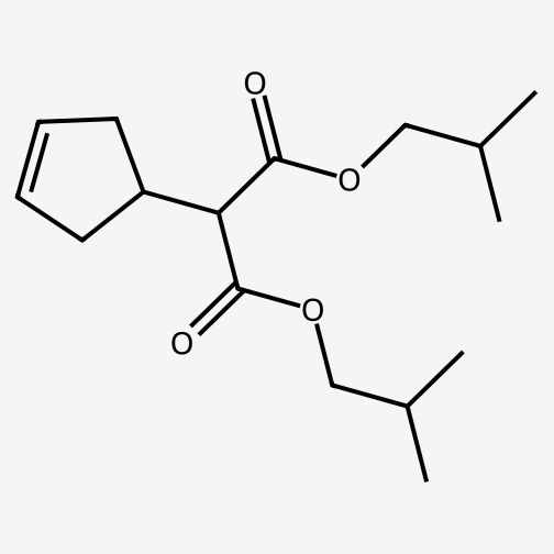 CC(C)COC(=O)C(C(=O)OCC(C)C)C1CC=CC1